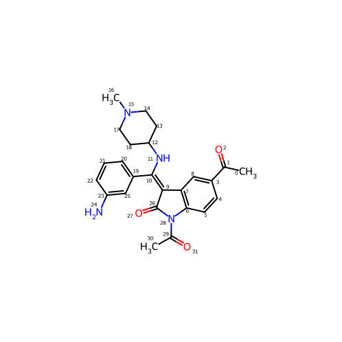 CC(=O)c1ccc2c(c1)C(=C(NC1CCN(C)CC1)c1cccc(N)c1)C(=O)N2C(C)=O